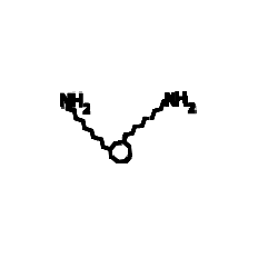 NCCCCCCCCCC1CCCCCC(CCCCCCCCCN)C1